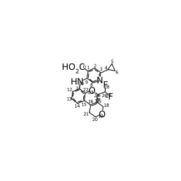 O=C(O)c1cc(C2CC2)ncc1Nc1cccc(C2=CCOCC2)c1OC(F)C(F)F